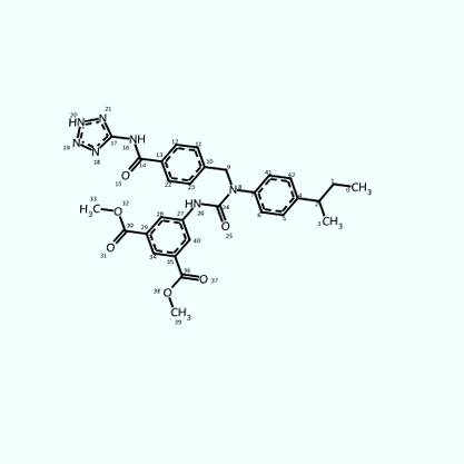 CCC(C)c1ccc(N(Cc2ccc(C(=O)Nc3nn[nH]n3)cc2)C(=O)Nc2cc(C(=O)OC)cc(C(=O)OC)c2)cc1